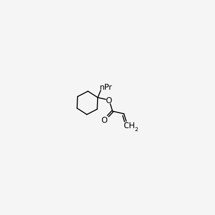 C=CC(=O)OC1(CCC)CCCCC1